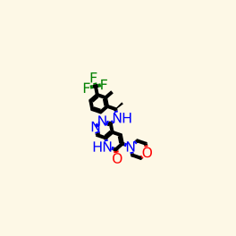 Cc1c([C@@H](C)Nc2nncc3[nH]c(=O)c(N4CCOCC4)cc23)cccc1C(F)(F)F